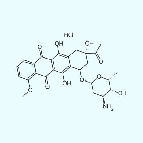 COc1cccc2c1C(=O)c1c(O)c3c(c(O)c1C2=O)C[C@@](O)(C(C)=O)CC3O[C@H]1C[C@H](N)[C@@H](O)[C@@H](C)O1.Cl